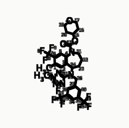 Cc1cc2c(cc1C(F)(F)F)N(C(=O)OC1CCOCC1)CCCC2N(Cc1cc(C(F)(F)F)cc(C(F)(F)F)c1)c1nnn(C)n1